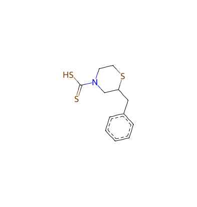 S=C(S)N1CCSC(Cc2ccccc2)C1